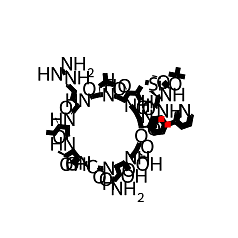 CC[C@H](C)[C@@H]1NC(=O)[C@@H](CCCNC(=N)N)NC(=O)[C@H](CC(C)C)NC(=O)[C@H]([C@H](O)C(C)C)NC(=O)[C@@H](NC(=O)[C@H](Cc2cccnc2)NC(=O)[C@@H](C[Si](C)(C)C)NC(=O)OC(C)(C)C)[C@@H](c2ccccc2)OC(=O)[C@H](CO)NC(=O)[C@H]([C@H](O)C(N)=O)NC(=O)CNC(=O)[C@H]([C@H](C)O)NC1=O